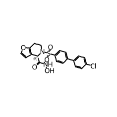 O=C(NO)[C@H]1c2ccoc2CCN1S(=O)(=O)c1ccc(-c2ccc(Cl)cc2)cc1